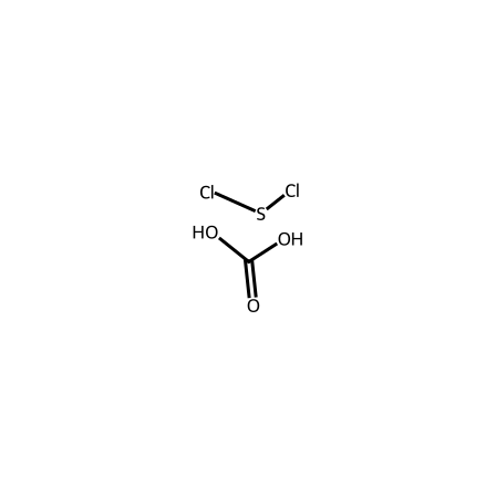 ClSCl.O=C(O)O